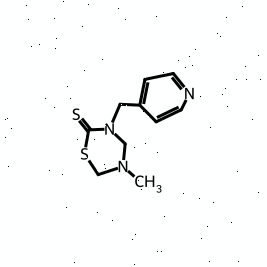 CN1CSC(=S)N(Cc2ccncc2)C1